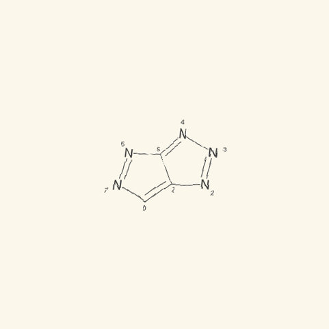 C1=C2N=NN=C2N=N1